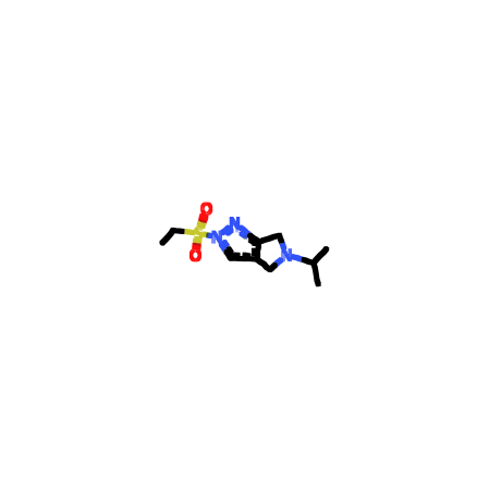 CCS(=O)(=O)n1cc2c(n1)CN(C(C)C)C2